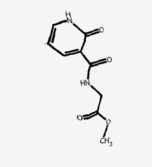 COC(=O)CNC(=O)c1c[c]c[nH]c1=O